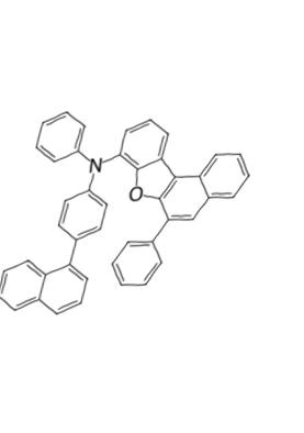 c1ccc(-c2cc3ccccc3c3c2oc2c(N(c4ccccc4)c4ccc(-c5cccc6ccccc56)cc4)cccc23)cc1